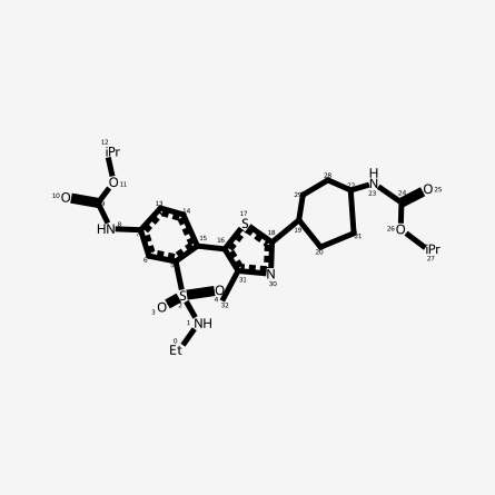 CCNS(=O)(=O)c1cc(NC(=O)OC(C)C)ccc1-c1sc(C2CCC(NC(=O)OC(C)C)CC2)nc1C